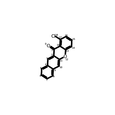 O=c1c2cc3ccccc3cc2oc2cccc(Cl)c12